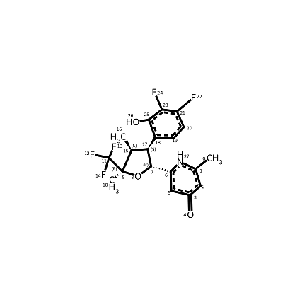 Cc1cc(=O)cc([C@@H]2O[C@@](C)(C(F)(F)F)[C@@H](C)[C@H]2c2ccc(F)c(F)c2O)[nH]1